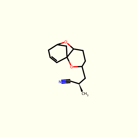 C[C@@H](C#N)CC1CCC2OC3CC=CC2(C3)O1